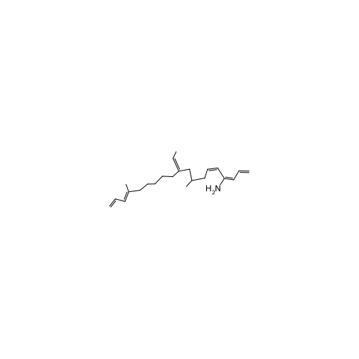 C=C/C=C(N)\C=C/CC(C)C/C(=C\C)CCCCC/C(C)=C/C=C